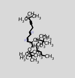 CCCCC[C@H](O[Si](C)(C)C(C)(C)C)[C@@H](/C=C\C=C\CC#C[Si](C)(C)C)O[Si](C)(C)C(C)(C)C